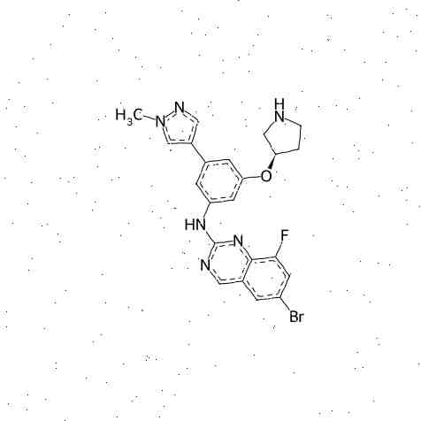 Cn1cc(-c2cc(Nc3ncc4cc(Br)cc(F)c4n3)cc(O[C@@H]3CCNC3)c2)cn1